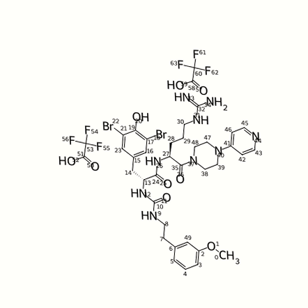 COc1cccc(CCNC(=O)N[C@H](Cc2cc(Br)c(O)c(Br)c2)C(=O)N[C@@H](CCCNC(=N)N)C(=O)N2CCN(c3ccncc3)CC2)c1.O=C(O)C(F)(F)F.O=C(O)C(F)(F)F